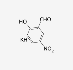 O=Cc1cc([N+](=O)[O-])ccc1O.[KH]